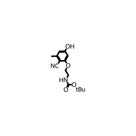 Cc1cc(O)cc(OCCNC(=O)OC(C)(C)C)c1C#N